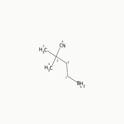 BCCC(C)(C)C#N